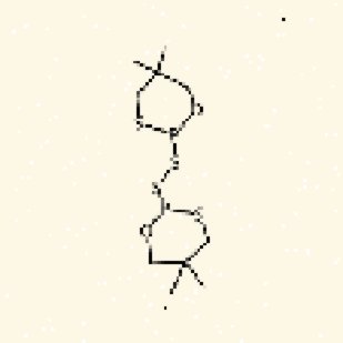 CC1(C)COP(SSP2OCC(C)(C)CS2)SC1